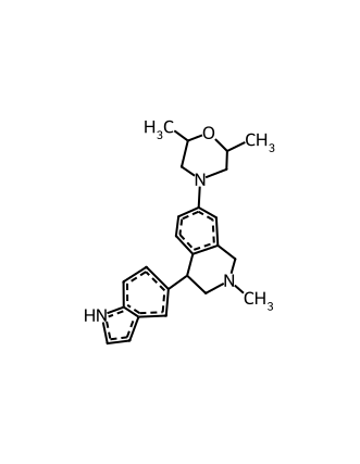 CC1CN(c2ccc3c(c2)CN(C)CC3c2ccc3[nH]ccc3c2)CC(C)O1